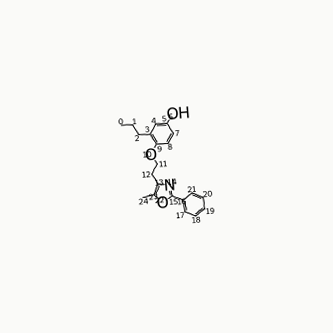 CCCc1cc(O)ccc1OCCc1nc(-c2ccccc2)oc1C